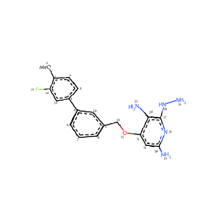 COc1ccc(-c2cccc(COc3cc(N)nc(NN)c3N)c2)cc1F